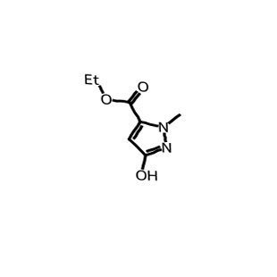 CCOC(=O)c1cc(O)nn1C